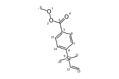 [CH2]OOC(=O)c1ccc([Si](C)(C)C=C)cc1